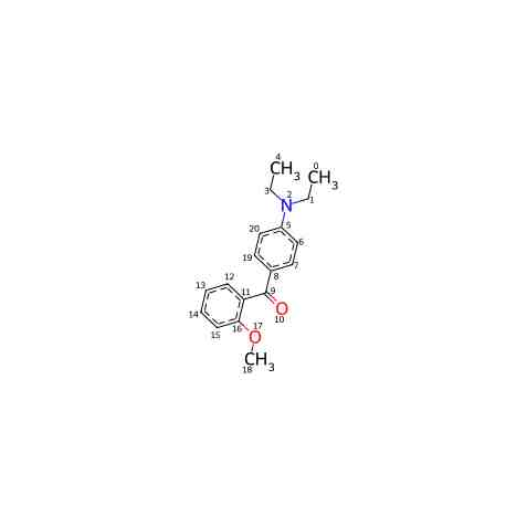 CCN(CC)c1ccc(C(=O)c2ccccc2OC)cc1